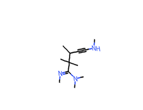 C/N=C(\N(C)C)C(C)(C)C(C)C#CNC